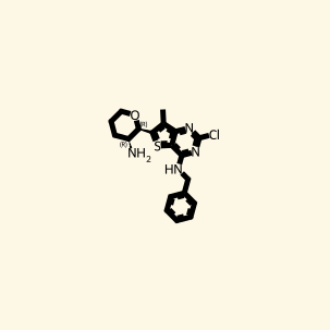 Cc1c([C@@H]2OCCC[C@H]2N)sc2c(NCc3ccccc3)nc(Cl)nc12